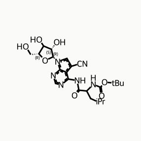 CC(C)CC(NC(=O)OC(C)(C)C)C(=O)Nc1ncnc2c1c(C#N)cn2[C@@H]1O[C@H](CO)C(O)[C@@H]1O